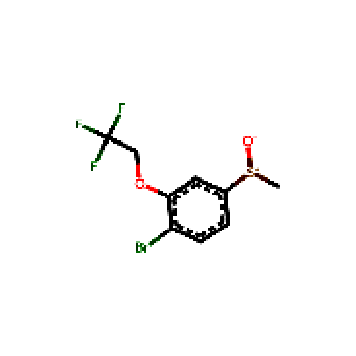 C[S+]([O-])c1ccc(Br)c(OCC(F)(F)F)c1